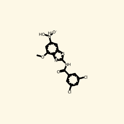 COc1cc([NH+]([O-])O)cc2sc(NC(=O)c3cc(Cl)cc(Cl)c3)nc12